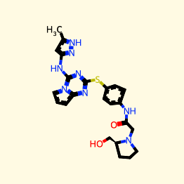 Cc1cc(Nc2nc(Sc3ccc(NC(=O)CN4CCC[C@H]4CO)cc3)nc3cccn23)n[nH]1